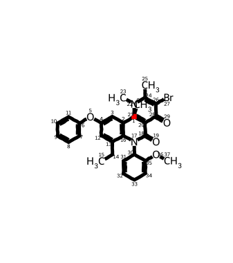 CCc1cc(Oc2ccccc2)cc(CC)c1N(C(=O)c1cn(C)c(C)c(Br)c1=O)C1C=CCC=C1OC